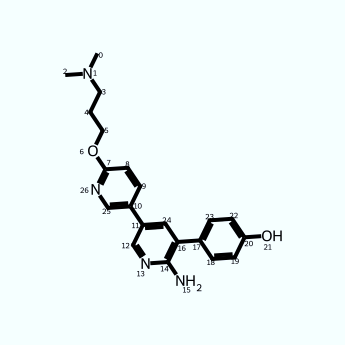 CN(C)CCCOc1ccc(-c2cnc(N)c(-c3ccc(O)cc3)c2)cn1